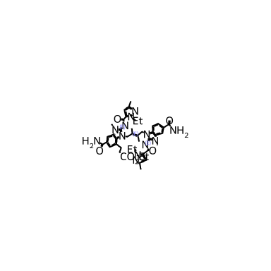 CCOC(=O)CCc1cc(C(N)=O)cc2c1n(C/C(C)=C(\C)Cn1/c(=N/C(=O)c3cc(C)nn3CC)n(C)c3cc(C(N)=O)ccc31)/c(=N/C(=O)c1cc(C)nn1CC)n2C